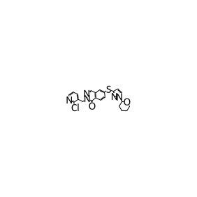 O=c1c2ccc(Sc3ccn(C4CCCCO4)n3)cc2cnn1Cc1cccnc1Cl